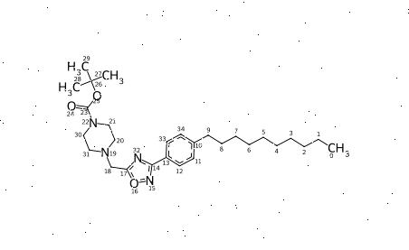 CCCCCCCCCCc1ccc(-c2noc(CN3CCN(C(=O)OC(C)(C)C)CC3)n2)cc1